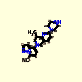 CC1CN(c2ccc(C#N)n3nccc23)Cc2ccc(N3CCNCC3)nc21